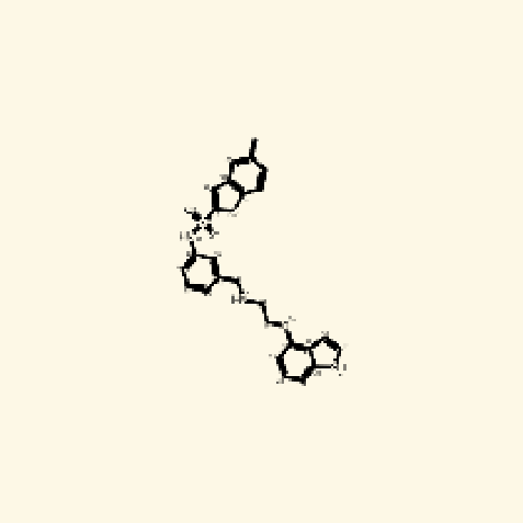 Cc1ccc2sc(S(=O)(=O)Nc3cccc(CNCCOc4cccc5[nH]ccc45)c3)cc2c1